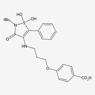 CC(C)(C)N1C(=O)C(NCCCOc2ccc(C(=O)O)cc2)=C(c2ccccc2)S1(O)O